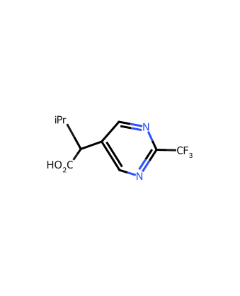 CC(C)C(C(=O)O)c1cnc(C(F)(F)F)nc1